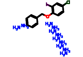 Clc1ccc(OCc2ccccc2)c(I)c1.N.N.N.N.N.N.N.N.N.N.N